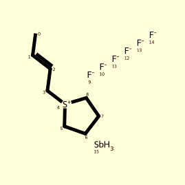 CC=CC[S+]1CCCC1.[F-].[F-].[F-].[F-].[F-].[F-].[SbH3]